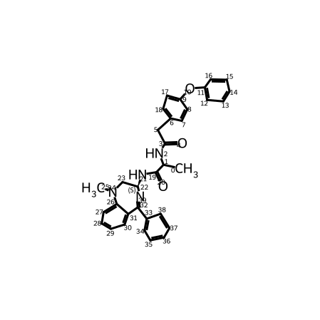 CC(NC(=O)Cc1ccc(Oc2ccccc2)cc1)C(=O)N[C@@H]1CN(C)c2ccccc2C(c2ccccc2)=N1